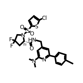 Cc1ccc(-c2cc(CNC(=O)[C@@H]3CC(F)(F)CN3S(=O)(=O)c3ccc(Cl)s3)cc(N(C)C)n2)cc1